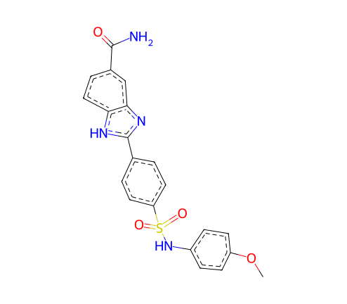 COc1ccc(NS(=O)(=O)c2ccc(-c3nc4cc(C(N)=O)ccc4[nH]3)cc2)cc1